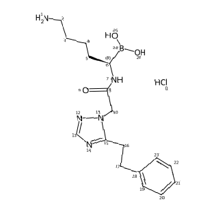 Cl.NCCCC[C@H](NC(=O)Cn1ncnc1CCc1ccccc1)B(O)O